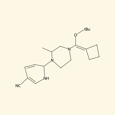 CC1CN(C(OC(C)(C)C)=C2CCC2)CCN1C1C=CC(C#N)=CN1